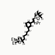 CCC/C(=C\B1OC(C)(C)C(C)(C)O1)c1cccc(CCCCCC(C)(C)O[Si](CC)(CC)CC)c1